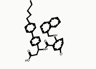 CCCCCc1ccc(-c2ccc(C(CC(=O)O)NC(=O)c3cc(Cl)ccc3NCc3cccc4ccccc34)cc2)cc1